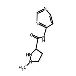 CN1CCC(C(=O)Nc2ccncn2)N1